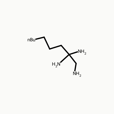 CCCCCCCC(N)(N)CN